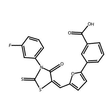 O=C(O)c1cccc(-c2ccc(C=C3SC(=S)N(c4cccc(F)c4)C3=O)o2)c1